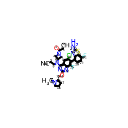 C=CC(=O)N1CC(N(CCC#N)c2nc(OC[C@@H]3CCCN3C)nc3c(F)c(-c4ccc(F)c5sc(N)nc45)c(Cl)cc23)C1